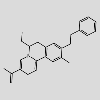 C=C(C)C1=CN2C(=CC1)c1cc(C)c(CCc3ccccc3)cc1CC2CC